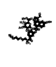 COC(=O)[C@H]1OC(Oc2ccc(C(=O)N(C)CCOCCN=[N+]=[N-])cc2OS(=O)(=O)c2cc3c(c4cc(OC)ccc24)[C@H](CCl)CN3)[C@H](OC(C)=O)[C@@H](OC(C)=O)[C@@H]1C